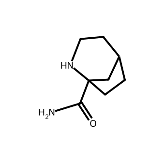 NC(=O)C12CCC(CCN1)C2